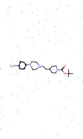 CC(C)(C)OC(=O)N1CCC(CCN2CCN(c3ccc(N)cc3)CC2)CC1